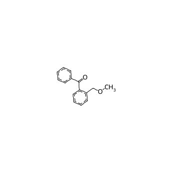 COCc1ccccc1C(=O)c1ccccc1